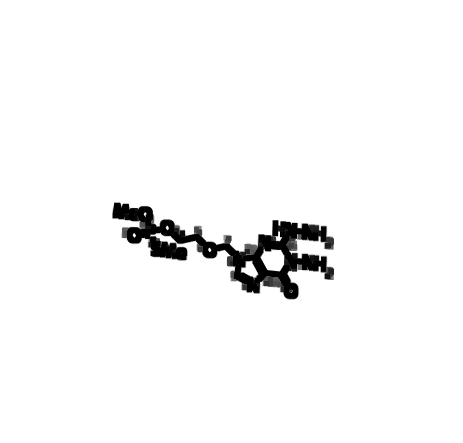 COP(=O)(OCCOCn1cnc2c(=O)n(N)c(NN)nc21)SC